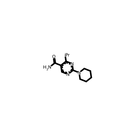 CC(C)c1nc(N2CCCCC2)ncc1C(N)=O